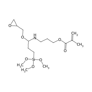 C=C(C)C(=O)OCCCNC(CC[Si](OC)(OC)OC)OCC1CO1